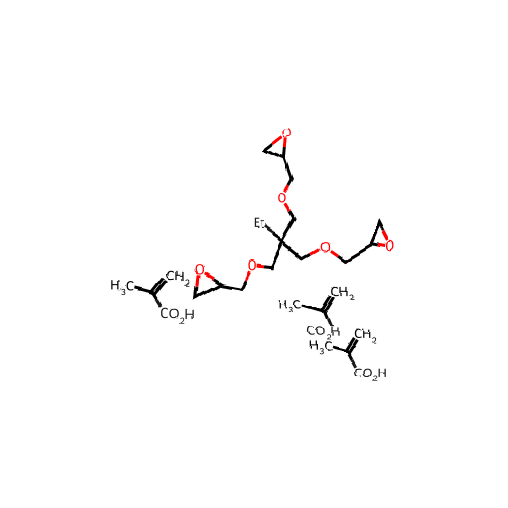 C=C(C)C(=O)O.C=C(C)C(=O)O.C=C(C)C(=O)O.CCC(COCC1CO1)(COCC1CO1)COCC1CO1